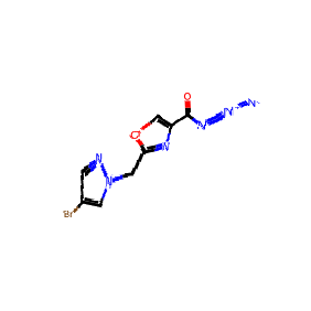 [N-]=[N+]=NC(=O)c1coc(Cn2cc(Br)cn2)n1